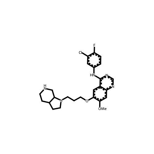 COc1cc2ncnc(Nc3ccc(F)c(Cl)c3)c2cc1OCCCN1CCC2CCNCC21